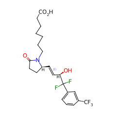 O=C(O)CCCCCCN1C(=O)CC[C@@H]1/C=C/[C@@H](O)C(F)(F)c1cccc(C(F)(F)F)c1